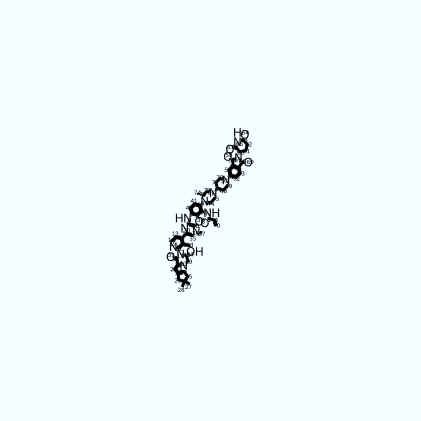 C=CC(=O)Nc1cc(Nc2nc(-c3ccnc(N4CCn5c(cc6c5CC(C)(C)C6)C4=O)c3CO)cn(C)c2=O)ccc1N1CCN(C2CCN(c3ccc4c(c3)C(=O)N(C3CCC(=O)NC3=O)C4=O)CC2)C[C@@H]1C